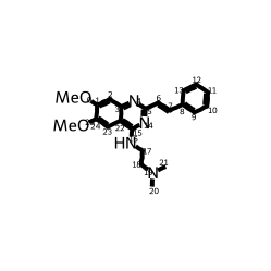 COc1cc2nc(C=Cc3ccccc3)nc(NCCN(C)C)c2cc1OC